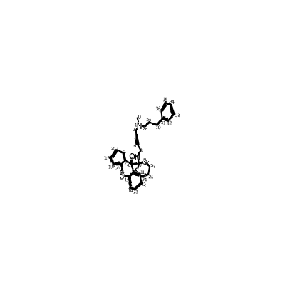 CN(CC#CCCC1(C2(O)c3ccccc3Sc3ccccc32)SCCCS1)CCCc1ccccc1